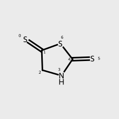 S=C1CNC(=S)S1